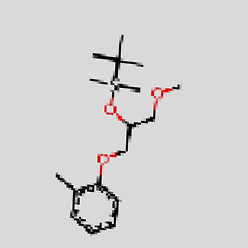 COCC(COc1ccccc1C)O[Si](C)(C)C(C)(C)C